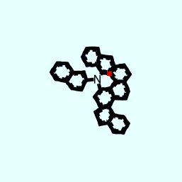 c1ccc2cc(N(c3cccc4ccccc34)c3cc4ccc5ccccc5c4c4ccc5ccccc5c34)ccc2c1